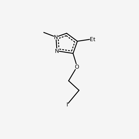 CCc1cn(C)nc1OCCI